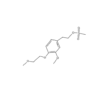 COCCOc1ccc(CCOS(C)(=O)=O)cc1OC